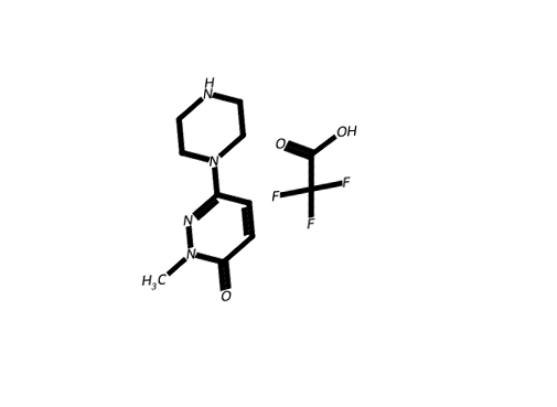 Cn1nc(N2CCNCC2)ccc1=O.O=C(O)C(F)(F)F